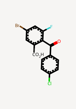 O=C(O)c1cc(Br)cc(F)c1C(=O)c1ccc(Cl)cc1